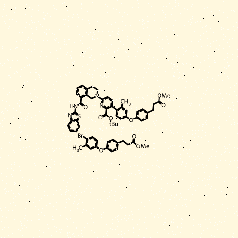 COC(=O)CCc1ccc(Oc2ccc(-c3ccc(N4CCc5cccc(C(=O)Nc6nc7ccccc7s6)c5C4)nc3C(=O)OC(C)(C)C)c(C)c2)cc1.COC(=O)CCc1ccc(Oc2ccc(Br)c(C)c2)cc1